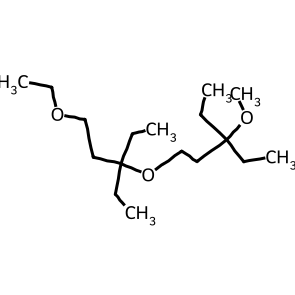 CCOCCC(CC)(CC)OCCC(CC)(CC)OC